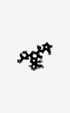 CC(C)(C)[C@H](NC(=O)C(F)(F)F)C(=O)N1C[C@H]2[C@@H]([C@H]1C(=O)N[C@H](C#N)CC1CCNC1=O)C2(C)C